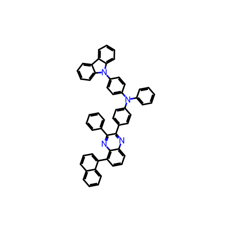 c1ccc(-c2nc3c(-c4cccc5ccccc45)cccc3nc2-c2ccc(N(c3ccccc3)c3ccc(-n4c5ccccc5c5ccccc54)cc3)cc2)cc1